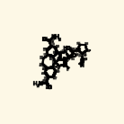 C[C@@H](CC1(c2n[nH]c(=O)[nH]2)c2ccc(C(N)=O)cc2CCc2cc(C(N)=O)ccc21)NCC(=O)N1CCC[C@H]1C#N